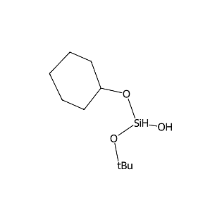 CC(C)(C)O[SiH](O)OC1CCCCC1